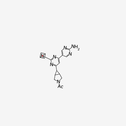 CC(=O)N1CC2C(C1)C2c1cc(-c2cnc(N)nc2)nc(N2CC3CC2C3)n1